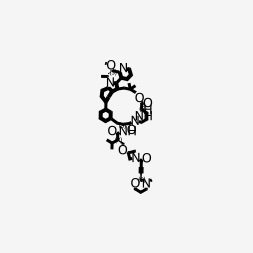 CCn1c(-c2cccnc2[C@H](C)OC)c2c3cc(ccc31)-c1cccc(c1)C[C@H](NC(=O)[C@@H](COC1CN(C(=O)C#C[C@@H]3OCCCN3C)C1)C(C)C)C(=O)N1CCC[C@H](N1)C(=O)OCC(C)(C)C2